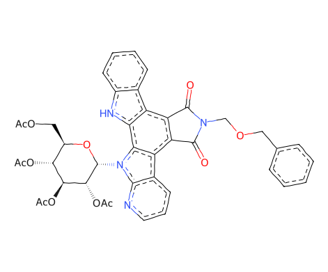 CC(=O)OC[C@H]1O[C@H](n2c3ncccc3c3c4c(c5c6ccccc6[nH]c5c32)C(=O)N(COCc2ccccc2)C4=O)[C@H](OC(C)=O)[C@@H](OC(C)=O)[C@@H]1OC(C)=O